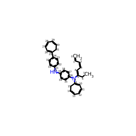 C=C/C=C\C=C(/CC)N(C1=CC=CC=CC1)c1ccc(Nc2ccc(C3=CC=CC=CC3)cc2)cc1